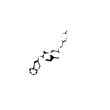 Cc1cnc(NC2Cc3ccccc3C2)c(=O)n1CC(=O)NCC1CNC(=N)NO1